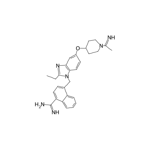 CCc1nc2cc(OC3CCN(C(C)=N)CC3)ccc2n1Cc1ccc(C(=N)N)c2ccccc12